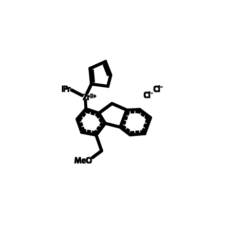 COCc1cc[c]([Zr+2]([C]2=CC=CC2)[CH](C)C)c2c1-c1ccccc1C2.[Cl-].[Cl-]